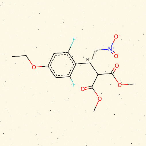 CCOc1cc(F)c([C@H](C[N+](=O)[O-])C(C(=O)OC)C(=O)OC)c(F)c1